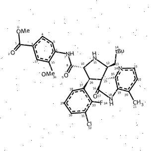 COC(=O)c1ccc(NC(=O)[C@@H]2N[C@@H](CC(C)(C)C)[C@@]3(C(=O)Nc4c(C)ccnc43)[C@H]2c2cccc(Cl)c2F)c(OC)c1